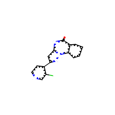 O=c1[nH]c2cc(-c3ccncc3Cl)nn2c2ccccc12